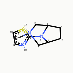 CC(C)N1CC2CCC(C1)N2c1nccs1